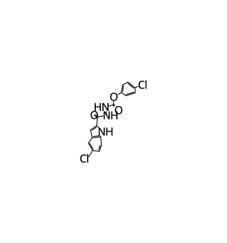 O=C(NNC(=O)c1cc2cc(Cl)ccc2[nH]1)Oc1ccc(Cl)cc1